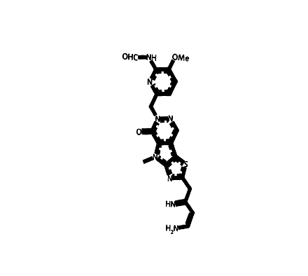 COc1ccc(Cn2ncc3c4sc(CC(=N)/C=C\N)nc4n(C)c3c2=O)nc1NC=O